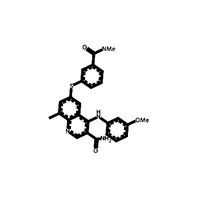 CNC(=O)c1cccc(Sc2cc(C)c3ncc(C(N)=O)c(Nc4cccc(OC)c4)c3c2)c1